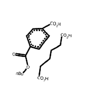 CCCCOC(=O)c1ccc(C(=O)O)cc1.O=C(O)CCCCC(=O)O